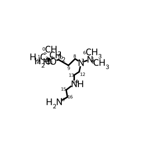 C=C.C=C.CN(C)N(CCCO)CCNCCN